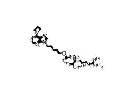 N=C(N)NCCC[C@H](NC(=O)OCCCCCn1cnc2c(N3CCC3)ncnc21)C(=O)O